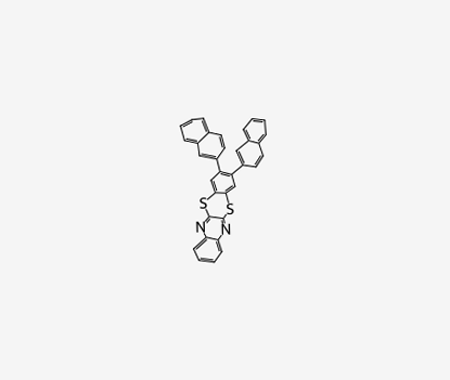 c1ccc2cc(-c3cc4c(cc3-c3ccc5ccccc5c3)Sc3nc5ccccc5nc3S4)ccc2c1